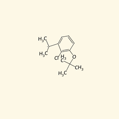 C[C](C)c1cccc(OC(C)(C)C)c1Cl